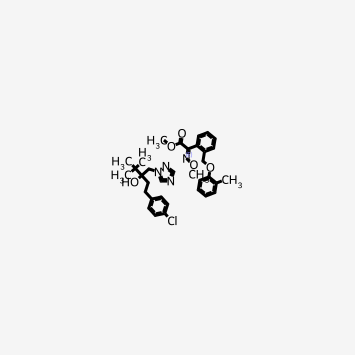 CC(C)(C)C(O)(CCc1ccc(Cl)cc1)Cn1cncn1.CO/N=C(/C(=O)OC)c1ccccc1COc1ccccc1C